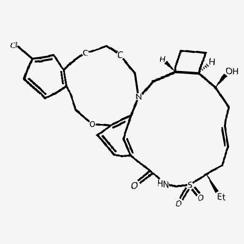 CC[C@@H]1C/C=C/C[C@H](O)[C@@H]2CC[C@H]2CN2CCCCc3cc(Cl)ccc3COc3ccc(cc32)C(=O)NS1(=O)=O